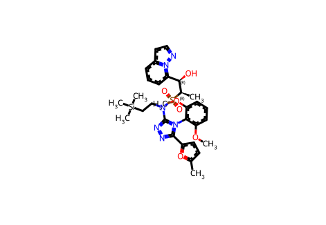 COc1cccc(OC)c1-n1c(-c2ccc(C)o2)nnc1N(CC[Si](C)(C)C)S(=O)(=O)[C@H](C)[C@H](O)c1cccc2ccnn12